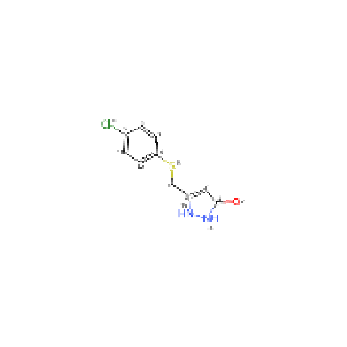 O=c1cc(CSc2ccc(Cl)cc2)[nH][nH]1